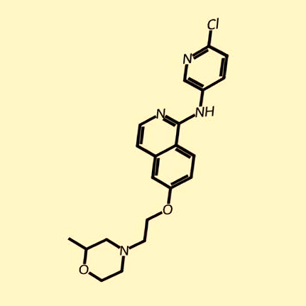 CC1CN(CCOc2ccc3c(Nc4ccc(Cl)nc4)nccc3c2)CCO1